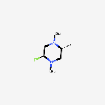 C[C@@H]1CN(C(C)(C)C)[C@@H](F)CN1C(C)(C)C